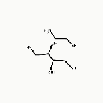 NCCS.O[C@H](CS)[C@H](O)CS